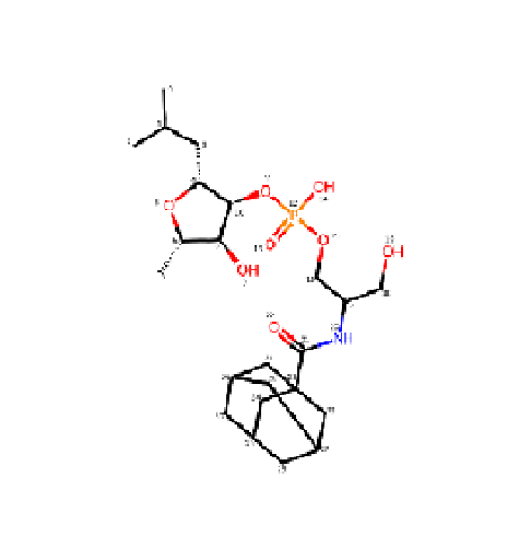 CC(C)C[C@H]1O[C@@H](C)[C@H](O)[C@@H]1OP(=O)(O)OCC(CO)NC(=O)C12CC3CC(CC(C3)C1)C2